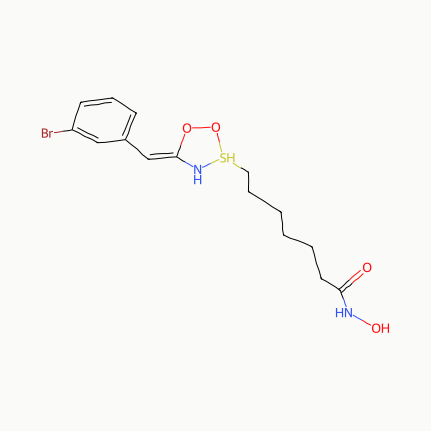 O=C(CCCCCC[SH]1N/C(=C/c2cccc(Br)c2)OO1)NO